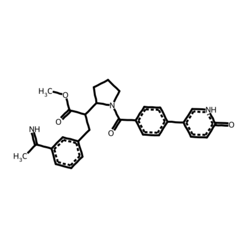 COC(=O)C(Cc1cccc(C(C)=N)c1)C1CCCN1C(=O)c1ccc(-c2ccc(=O)[nH]c2)cc1